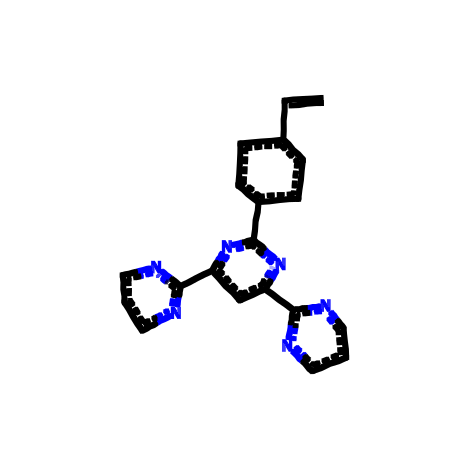 C=Cc1ccc(-c2nc(-c3ncccn3)cc(-c3ncccn3)n2)cc1